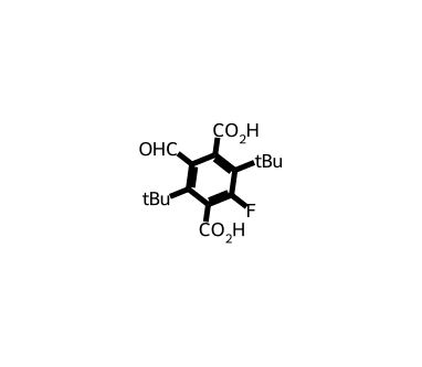 CC(C)(C)c1c(F)c(C(=O)O)c(C(C)(C)C)c(C=O)c1C(=O)O